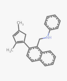 CC1=CC(C)=C(c2ccc3ccccc3c2CNc2ccccc2)C1